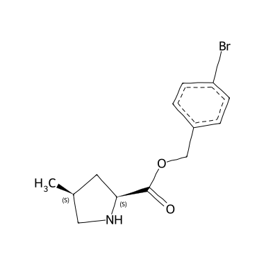 C[C@@H]1CN[C@H](C(=O)OCc2ccc(Br)cc2)C1